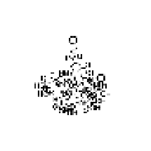 O=C(C[C@@H](NC(=O)[C@@H](CC(=O)N[C@H](CS(=O)(=O)O)C(=O)O)NC(=O)[C@@H](CC(=O)N[C@H](CS(=O)(=O)O)C(=O)O)NC(=O)[C@@H](CC(=O)N[C@H](CS(=O)(=O)O)C(=O)O)NC(=O)[C@H]1C[C@@H](C(=O)C(=O)OCc2ccccc2)C[C@@H](C(=O)C(=O)OCc2ccccc2)C1)C(=O)O)N[C@H](CS(=O)(=O)O)C(=O)O